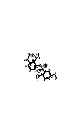 CCc1ccc(OC)c(S(=O)(=O)Nc2cccc3c2CNCC3)c1